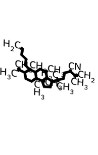 C=CCCCC1(C)C(C(=C)C)CCC2(C)C1CC(C)C1C(C(C)(C)CCC(C#N)C(=C)C)CCC12C